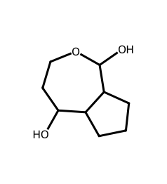 OC1CCOC(O)C2CCCC12